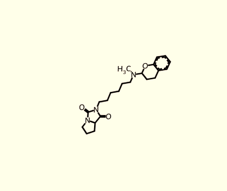 CN(CCCCCCN1C(=O)C2CCCN2C1=O)C1CCc2ccccc2O1